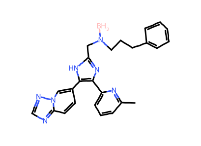 BN(CCCc1ccccc1)Cc1nc(-c2cccc(C)n2)c(-c2ccc3ncnn3c2)[nH]1